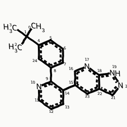 CC(C)(C)c1cccc(-c2ncccc2-c2cnc3[nH]ncc3c2)c1